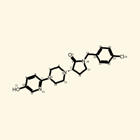 O=C1[C@@H](N2CCN(c3ccc(O)cn3)CC2)CCN1Cc1ccc(Cl)cc1